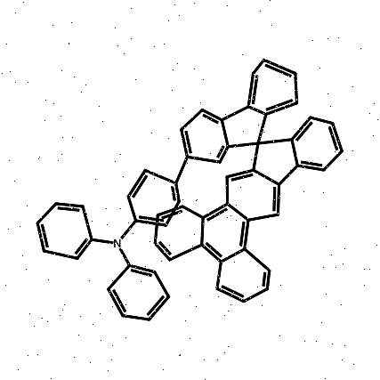 c1ccc(N(c2ccccc2)c2ccc(-c3ccc4c(c3)C3(c5ccccc5-4)c4ccccc4-c4cc5c6ccccc6c6ccccc6c5cc43)cc2)cc1